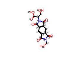 COC(=O)C(CO)n1c(=O)c2cc3c(=O)n(CO)c(=O)c3cc2c1=O